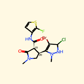 CN1C[C@H](C2=C(Br)C(Cl)NN2C)[C@@H](C(=O)Nc2ccsc2F)C1=O